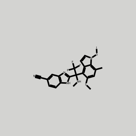 CNC(c1nc2cc(C#N)ccc2[nH]1)(c1c(SC)cc(C)c2c1ccn2SI)C(F)(F)F